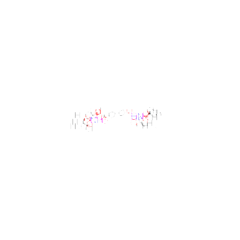 CC(C)[C@H](NC(=O)OC(C)(C)C)C(=O)OCC(=O)c1ccc2c(c1)Cc1cc(C(=O)COC(=O)[C@@H](NC(=O)OC(C)(C)C)C(C)C)ccc1-2